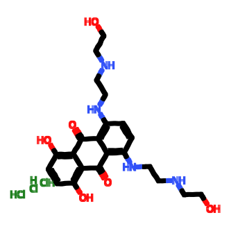 Cl.Cl.Cl.O=C1c2c(O)ccc(O)c2C(=O)c2c(NCCNCCO)ccc(NCCNCCO)c21